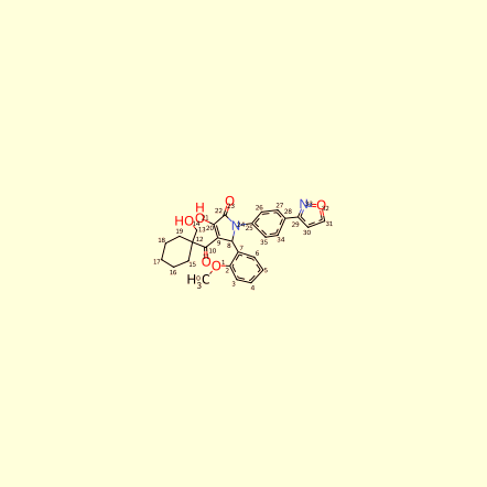 COc1ccccc1C1C(C(=O)C2(CO)CCCCC2)=C(O)C(=O)N1c1ccc(-c2ccon2)cc1